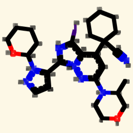 CC1COCCN1c1cc(C2(C#N)CCCCC2)c2c(I)nc(-c3ccnn3C3CCCCO3)n2n1